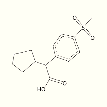 CS(=O)(=O)c1ccc(C(C(=O)O)C2CCCC2)cc1